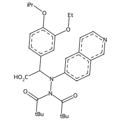 CCOc1cc(C(C(=O)O)N(c2ccc3cnccc3c2)N(C(=O)C(C)(C)C)C(=O)C(C)(C)C)ccc1OC(C)C